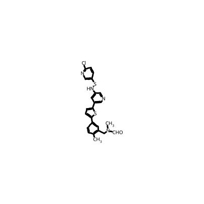 Cc1ccc(-c2ccc(-c3cncc(NSc4ccc(Cl)nc4)c3)s2)cc1CN(C)C=O